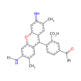 CCNc1cc2oc3cc(=N)c(C)cc-3c(-c3ccc(C(=O)C(C)C)cc3C(=O)O)c2cc1C